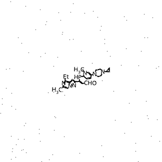 CCc1nc(C)cn2nc(/C(=C/C=O)PC3C=CC(N4CCN(C5CC5)CC4)=CN3C)cc12